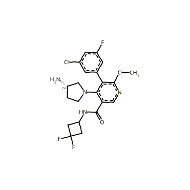 COc1ncc(C(=O)NC2CC(F)(F)C2)c(N2CC[C@H](N)C2)c1-c1cc(F)cc(Cl)c1